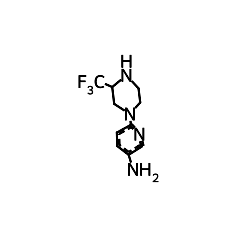 Nc1ccc(N2CCNC(C(F)(F)F)C2)nc1